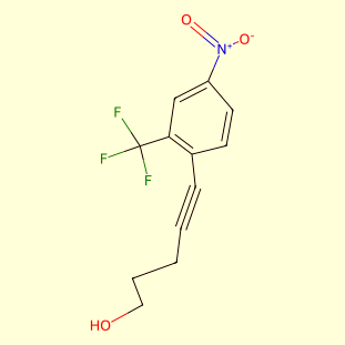 O=[N+]([O-])c1ccc(C#CCCCO)c(C(F)(F)F)c1